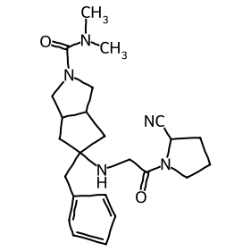 CN(C)C(=O)N1CC2CC(Cc3ccccc3)(NCC(=O)N3CCCC3C#N)CC2C1